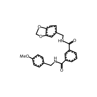 COc1ccc(CNC(=O)c2cccc(C(=O)NCc3ccc4c(c3)OCO4)c2)cc1